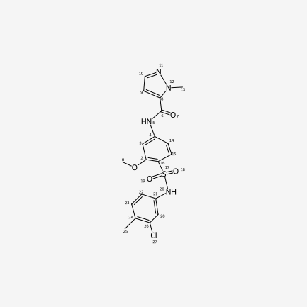 COc1cc(NC(=O)c2ccnn2C)ccc1S(=O)(=O)Nc1ccc(C)c(Cl)c1